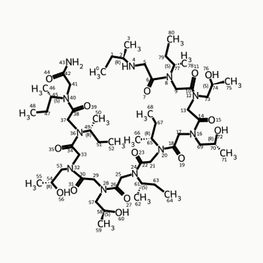 CC[C@@H](C)NCC(=O)N(CC(=O)N(CC(=O)N(CC(=O)N(CC(=O)N(CC(=O)N(CC(=O)N(CC(=O)N(CC(=O)N(CC(N)=O)[C@@H](C)CC)[C@H](C)CC)C[C@@H](C)O)C[C@H](C)O)[C@@H](C)CC)[C@H](C)CC)C[C@@H](C)O)C[C@H](C)O)[C@@H](C)CC